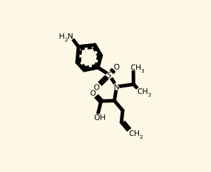 C=CCC(C(=O)O)N(C(C)C)S(=O)(=O)c1ccc(N)cc1